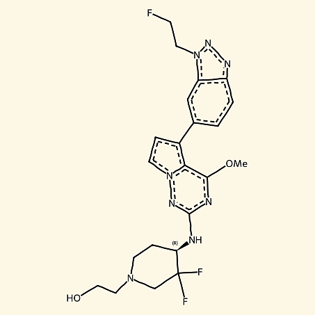 COc1nc(N[C@@H]2CCN(CCO)CC2(F)F)nn2ccc(-c3ccc4nnn(CCF)c4c3)c12